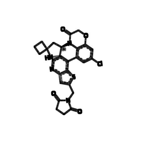 O=C1CCC(=O)N1Cc1cc2nccc(-c3cc(Cl)cc4c3N([C@H]3CNC5(CCC5)C3)C(=O)CO4)c2s1